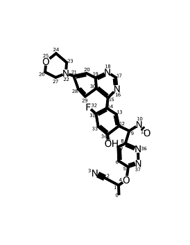 CC(C#N)Oc1ccc(C(N=O)c2cc(-c3ncnc4cc(N5CCOCC5)ccc34)c(F)cc2O)nn1